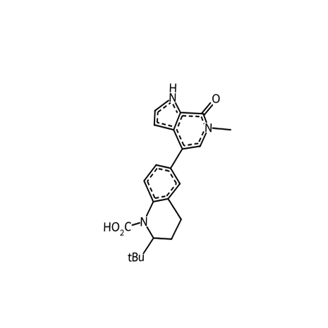 Cn1cc(-c2ccc3c(c2)CCC(C(C)(C)C)N3C(=O)O)c2cc[nH]c2c1=O